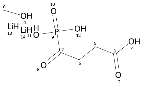 CO.O=C(O)CCC(=O)P(=O)(O)O.[LiH].[LiH]